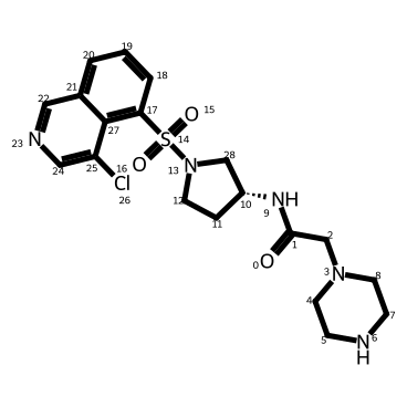 O=C(CN1CCNCC1)N[C@@H]1CCN(S(=O)(=O)c2cccc3cncc(Cl)c23)C1